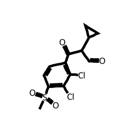 CS(=O)(=O)c1ccc(C(=O)C(C=O)C2CC2)c(Cl)c1Cl